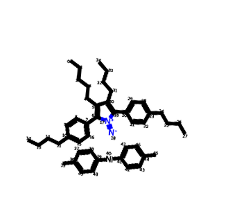 CCCCCC1=C(c2ccc(CCCC)cc2)[N+](=[N-])C(c2ccc(CCCC)cc2)=C1CCCC.Cc1cc[c]([Ni][c]2ccc(C)cc2)cc1